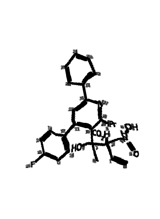 C=CC(C(=O)O)([PH](=O)O)C(C)(O)c1c(-c2ccc(F)cc2)cc(-c2ccccc2)nc1C(C)C